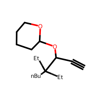 C#CC(OC1CCCCO1)C(CC)(CC)CCCC